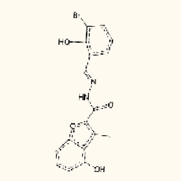 Cc1c(C(=O)NN=Cc2cccc(Br)c2O)oc2cccc(O)c12